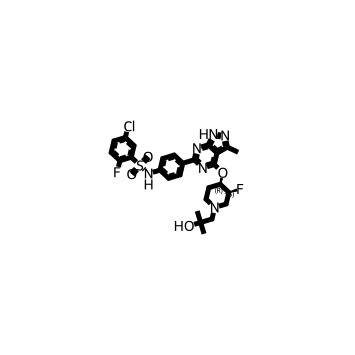 Cc1n[nH]c2nc(-c3ccc(NS(=O)(=O)c4cc(Cl)ccc4F)cc3)nc(O[C@@H]3CCN(CC(C)(C)O)C[C@@H]3F)c12